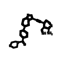 N=Cc1c(C#Cc2cnc3ccc(-c4ccc(C(=O)N5CCOCC5)cc4)cn23)ccnc1N